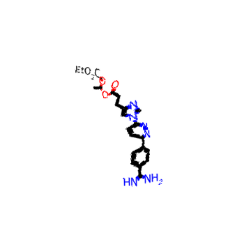 CCOC(=O)OC(C)OC(=O)CCc1cn(-c2ccc(-c3ccc(C(=N)N)cc3)nn2)cn1